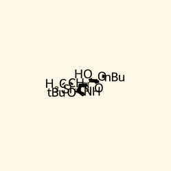 CCCCOC(=O)C(O)[C@H]1C[C@H](O[Si](C)(C)C(C)(C)C)CN1